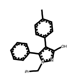 Cc1ccc(-c2c(O)nn(CC(C)C)c2-c2ccccc2)cc1